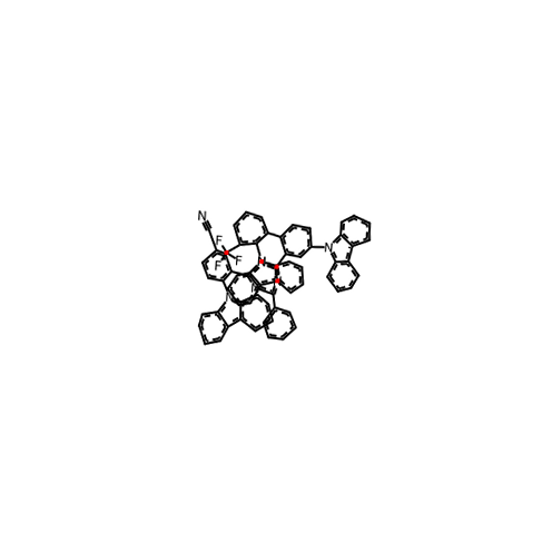 N#Cc1ccc(-n2c3ccccc3c3ccccc32)c(-c2nc(-c3ccccc3)nc(-c3cc(-n4c5ccccc5c5ccccc54)ccc3-c3cccc(C(F)(F)F)c3-n3c4ccccc4c4ccccc43)n2)c1